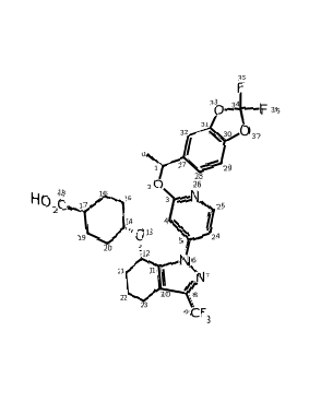 C[C@H](Oc1cc(-n2nc(C(F)(F)F)c3c2[C@@H](O[C@H]2CC[C@H](C(=O)O)CC2)CCC3)ccn1)c1ccc2c(c1)OC(F)(F)O2